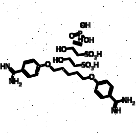 C=C.N=C(N)c1ccc(OCCCCCOc2ccc(C(=N)N)cc2)cc1.O=S(=O)(O)CCO.O=S(=O)(O)CCO.O=[PH](O)O